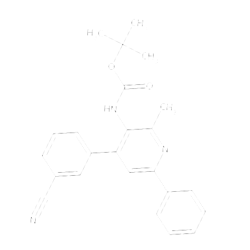 Cc1nc(-c2ccccc2)cc(-c2cccc(C#N)c2)c1NC(=O)OC(C)(C)C